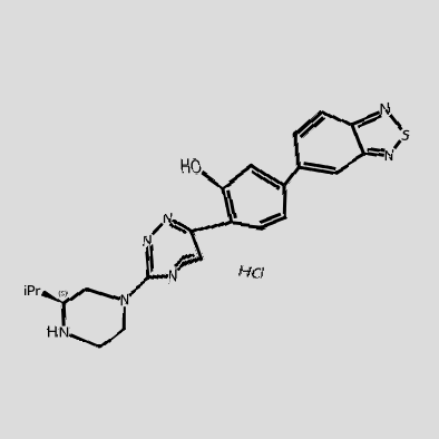 CC(C)[C@H]1CN(c2ncc(-c3ccc(-c4ccc5nsnc5c4)cc3O)nn2)CCN1.Cl